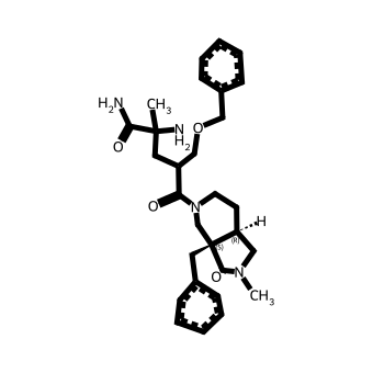 CN1C[C@@H]2CCN(C(=O)C(COCc3ccccc3)CC(C)(N)C(N)=O)C[C@@]2(Cc2ccccc2)C1=O